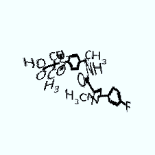 C[C@@H](NC(=O)c1cc(-c2ccc(F)cc2)nn1C)c1ccc(S(=O)(=O)C(C)(C)C(=O)O)cc1